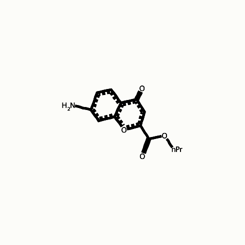 CCCOC(=O)c1cc(=O)c2ccc(N)cc2o1